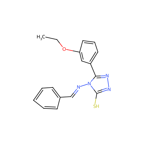 CCOc1cccc(-c2nnc(S)n2N=Cc2ccccc2)c1